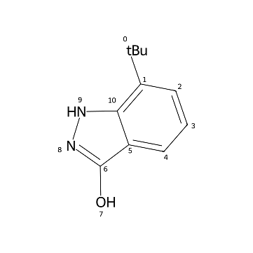 CC(C)(C)c1cccc2c(O)n[nH]c12